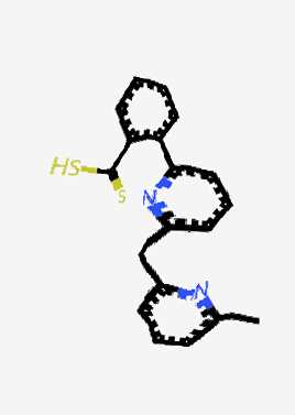 Cc1cccc(Cc2cccc(-c3ccccc3C(=S)S)n2)n1